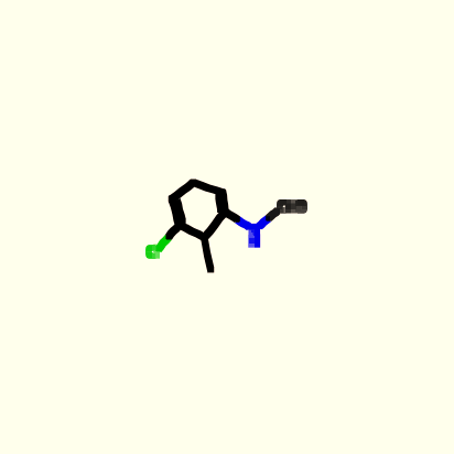 CC1C(Cl)=CCC=C1NC=O